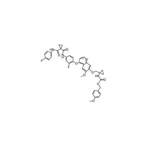 COc1ccc(COC(=O)NC2(COc3cc4nccc(Oc5ccc(NC(=O)C6(C(=O)Nc7ccc(F)cc7)CC6)cc5F)c4cc3OC)CC2)cc1